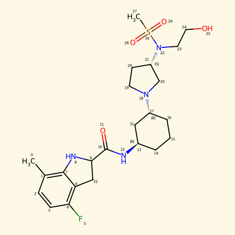 Cc1ccc(F)c2c1NC(C(=O)N[C@@H]1CCC[C@@H](N3CC[C@H](N(CCO)S(C)(=O)=O)C3)C1)C2